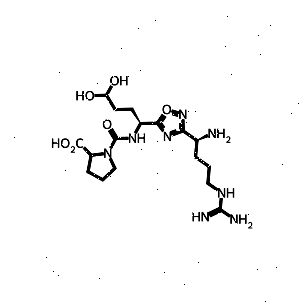 N=C(N)NCCC[C@H](N)c1noc([C@H](CCC(O)O)NC(=O)N2CCCC2C(=O)O)n1